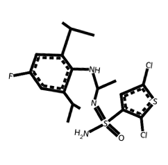 CC(N=S(N)(=O)c1cc(Cl)sc1Cl)Nc1c(C(C)C)cc(F)cc1C(C)C